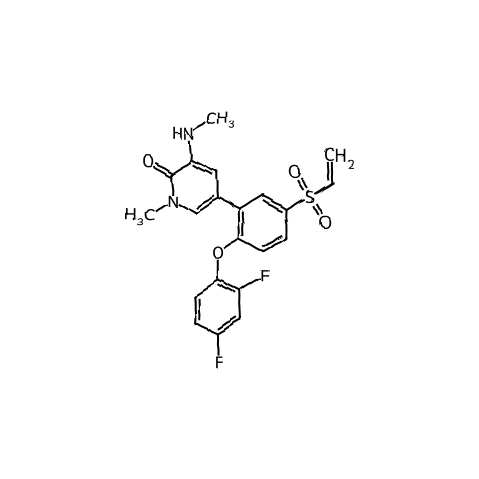 C=CS(=O)(=O)c1ccc(Oc2ccc(F)cc2F)c(-c2cc(NC)c(=O)n(C)c2)c1